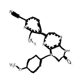 COC1CCC(N2CC(=O)Nc3ncc(-c4ccc(C#N)nc4C)nc32)CC1